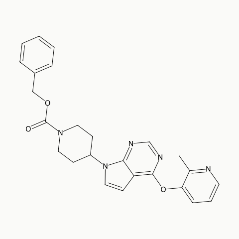 Cc1ncccc1Oc1ncnc2c1ccn2C1CCN(C(=O)OCc2ccccc2)CC1